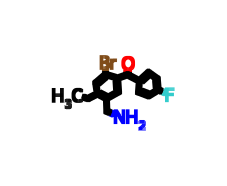 CCc1cc(Br)c(C(=O)c2ccc(F)cc2)cc1CN